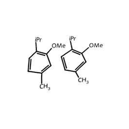 COc1cc(C)ccc1C(C)C.COc1cc(C)ccc1C(C)C